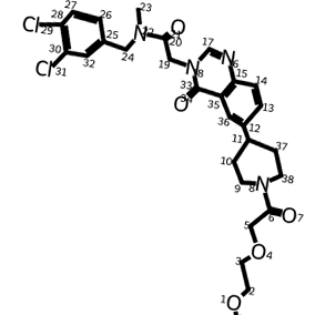 COCCOCC(=O)N1CCC(c2ccc3ncn(CC(=O)N(C)Cc4ccc(Cl)c(Cl)c4)c(=O)c3c2)CC1